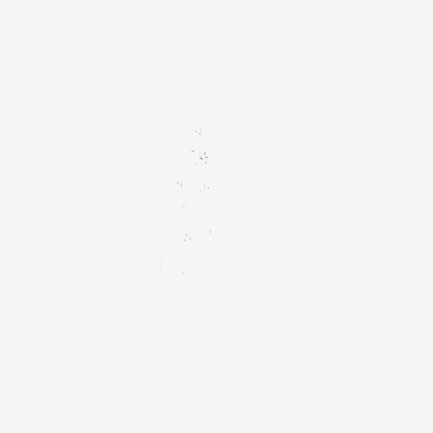 C[C@@]1(O)CCC[C@H]1n1c(=O)ccc2cnc(NC3CCN(S(=O)(=O)C(F)(F)F)CC3)nc21